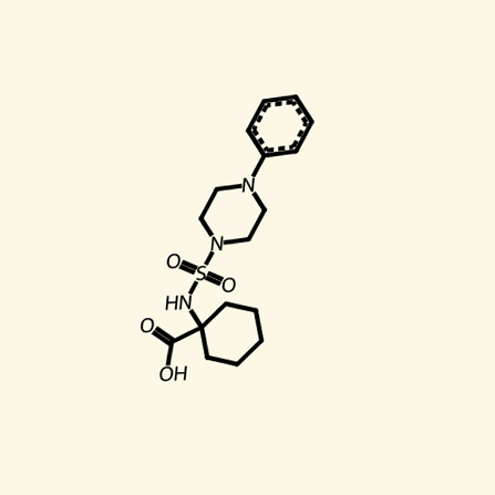 O=C(O)C1(NS(=O)(=O)N2CCN(c3ccccc3)CC2)CCCCC1